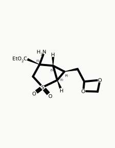 CCOC(=O)[C@]1(N)CS(=O)(=O)[C@H]2[C@H](CC3OCO3)[C@H]21